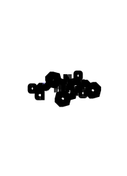 O=C(Cl)/C=C/c1cccc(-c2nc3c(=O)n(CC4CCCCC4)c(=O)n(CC4CCCCC4)c3[nH]2)c1